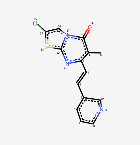 Cc1c(/C=C/c2cccnc2)nc2sc(Cl)cn2c1=O